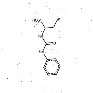 CC(C)CC(NC(=O)Nc1ccccc1)C(=O)O